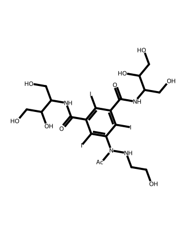 CC(=O)N(NCCO)c1c(I)c(C(=O)NC(CO)C(O)CO)c(I)c(C(=O)NC(CO)C(O)CO)c1I